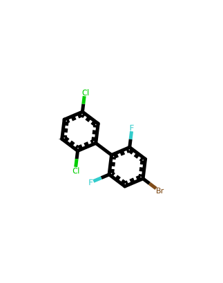 Fc1cc(Br)cc(F)c1-c1cc(Cl)c[c]c1Cl